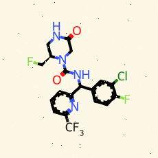 O=C1CN(C(=O)NC(c2ccc(F)c(Cl)c2)c2cccc(C(F)(F)F)n2)[C@@H](CF)CN1